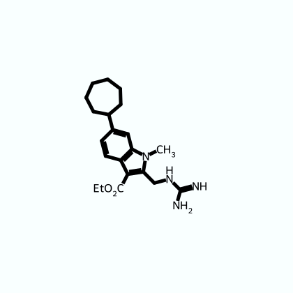 CCOC(=O)c1c(CNC(=N)N)n(C)c2cc(C3CCCCCC3)ccc12